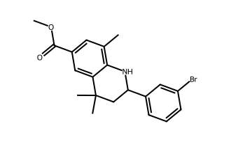 COC(=O)c1cc(C)c2c(c1)C(C)(C)CC(c1cccc(Br)c1)N2